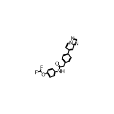 O=C(Cc1ccc(-c2ccn3ncnc3c2)cc1)Nc1ccc(OC(F)F)cc1